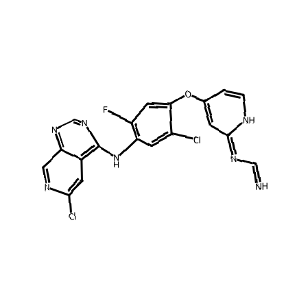 N=C/N=c1/cc(Oc2cc(F)c(Nc3ncnc4cnc(Cl)cc34)cc2Cl)cc[nH]1